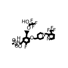 CS(=O)(=O)NC(=O)c1cc(C2CC2)c(OCC2CCN(Cc3ncccc3C(F)(F)F)CC2)cc1F.O=C(O)C(F)(F)F